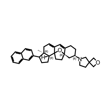 C[C@]12CC=C3C=C4CC[C@@H](N5CCC6(COC6)C5)C[C@]45CCC3(O5)[C@@H]1CCC2c1ccc2ccccc2c1